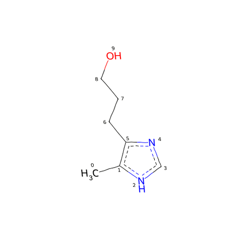 Cc1[nH]cnc1CCCO